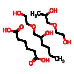 CC(O)COCCO.CCCCC(O)COCCO.O=C(O)CCCCC(=O)O